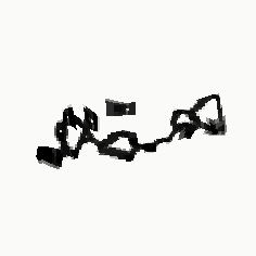 Cl.O=C(O)CC1C(c2ccc(OCCc3ccc4c(n3)NCCC4)cc2)C1(Cl)Cl